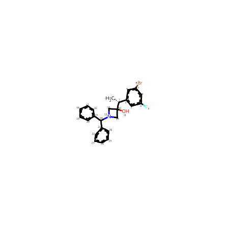 [CH2][C@H](c1cc(F)cc(Br)c1)C1(O)CN(C(c2ccccc2)c2ccccc2)C1